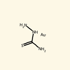 NNC(N)=S.[Au]